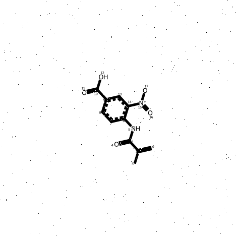 C=C(C)C(=O)Nc1ccc(C(=O)O)cc1[N+](=O)[O-]